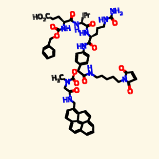 CC(C)[C@H](NC(=O)[C@H](CCC(=O)O)NC(=O)OCc1ccccc1)C(=O)N[C@@H](CCCNC(N)=O)C(=O)Nc1ccc(C(OC(=O)N(C)CC(=O)NCc2ccc3ccc4cccc5ccc2c3c45)C(=O)NCCCCCN2C(=O)C=CC2=O)cc1